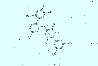 COc1cc(F)c(C(C)C)cc1-c1ccc(C(F)(F)F)cc1CN1C[C@H](C)C(c2cc(C(F)(F)F)cc(C(F)(F)F)c2)OC1=O